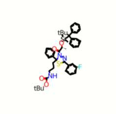 C[C@@H](O[Si](C)(C)C(c1ccccc1)(c1ccccc1)C(C)(C)C)C(=O)N1N=C(c2cccc(F)c2)SC1(CCCNC(=O)OC(C)(C)C)c1ccccc1